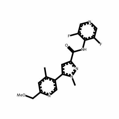 COCc1cc(C)c(-c2cc(C(=O)Nc3c(F)cncc3F)nn2C)cn1